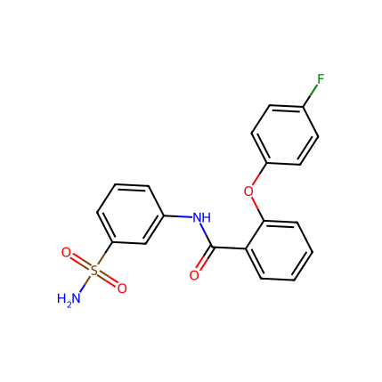 NS(=O)(=O)c1cccc(NC(=O)c2ccccc2Oc2ccc(F)cc2)c1